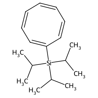 CC(C)[Si](C1=CC=CC=CC=C1)(C(C)C)C(C)C